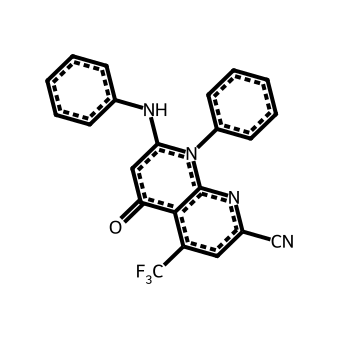 N#Cc1cc(C(F)(F)F)c2c(=O)cc(Nc3ccccc3)n(-c3ccccc3)c2n1